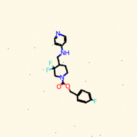 O=C(OCc1ccc(F)cc1)N1CCC(CNc2ccncc2)C(F)(F)C1